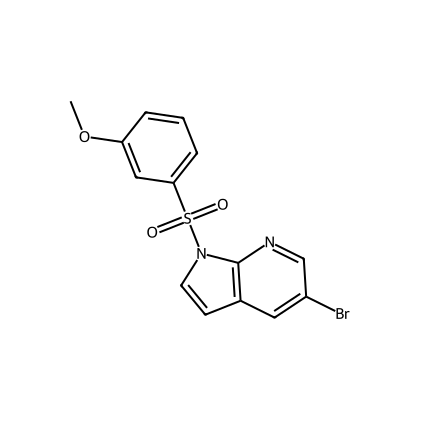 COc1cccc(S(=O)(=O)n2ccc3cc(Br)cnc32)c1